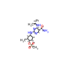 Cc1cc(Nc2ncc(C(N)=O)c(N[C@H](C)C(C)C)n2)ccc1OS(C)(=O)=O